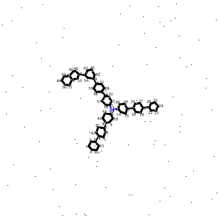 c1ccc(-c2ccc(-c3ccc(N(c4ccc(-c5ccc(-c6ccccc6)cc5)cc4)c4ccc(-c5ccc(-c6cccc(-c7ccc8ccccc8c7)c6)cc5)cc4)cc3)cc2)cc1